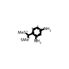 CSC(SC)c1ccc(N)cc1N